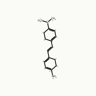 CN(C)C1=CC=C(/C=C/C2=CC=C(N)CC2)CC1